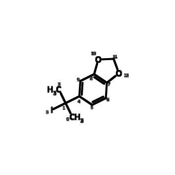 CC(C)(I)c1ccc2c(c1)OCO2